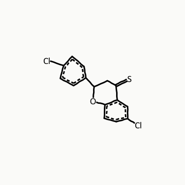 S=C1CC(c2ccc(Cl)cc2)Oc2ccc(Cl)cc21